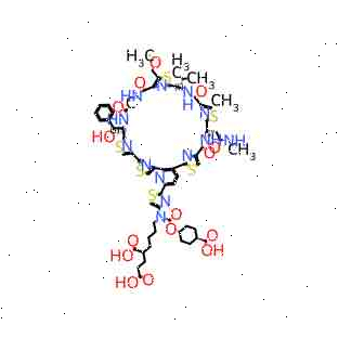 CNC(=O)C[C@@H]1NC(=O)c2csc(n2)-c2ccc(-c3nc(N(CCCCC(CCC(=O)O)C(=O)O)C(=O)O[C@H]4CC[C@H](C(=O)O)CC4)cs3)nc2-c2csc(n2)-c2csc(n2)[C@H]([C@@H](O)c2ccccc2)NC(=O)CNC(=O)c2nc(sc2COC)[C@H](C(C)C)NC(=O)c2nc1sc2C